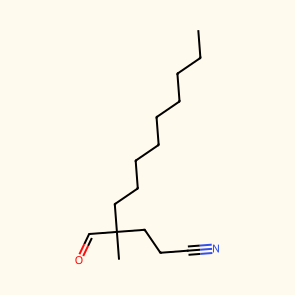 CCCCCCCCCC(C)(C=O)CCC#N